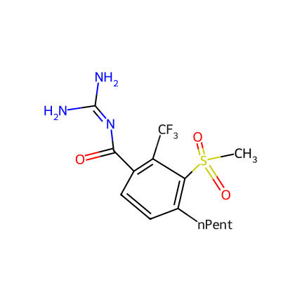 CCCCCc1ccc(C(=O)N=C(N)N)c(C(F)(F)F)c1S(C)(=O)=O